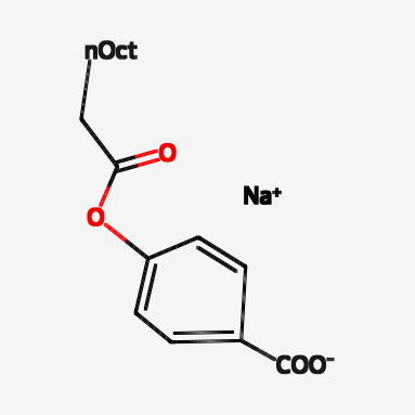 CCCCCCCCCC(=O)Oc1ccc(C(=O)[O-])cc1.[Na+]